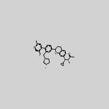 CC(=O)[C@@H](C)[C@H](c1ccc2c(c1)OC(c1ccc(-c3cc(C)ncc3F)c(CN3CC[C@H](C)C3)c1)CC2)C1CC1